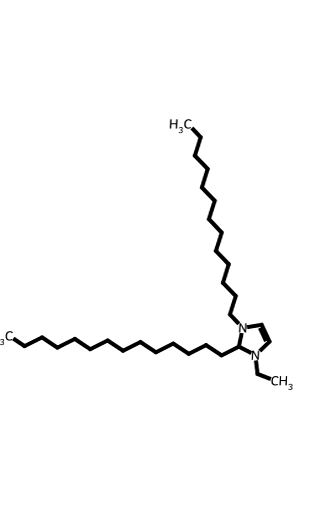 CCCCCCCCCCCCCCC1N(CC)C=CN1CCCCCCCCCCCCC